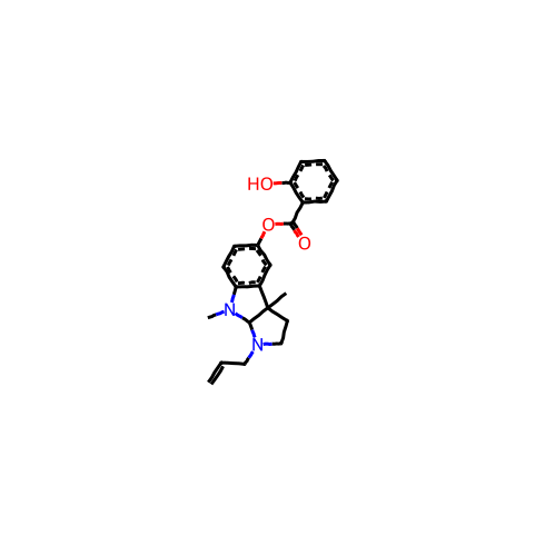 C=CCN1CCC2(C)c3cc(OC(=O)c4ccccc4O)ccc3N(C)C12